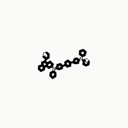 c1ccc(-c2cc3ccccc3c3cc(N(c4ccccc4)c4ccc(-c5ccc(-c6ccc(N(c7ccccc7)c7ccccc7)cc6)cc5)cc4)ccc23)cc1